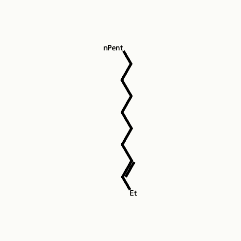 [CH2]C/C=C/CCCCCCCCCC[CH2]